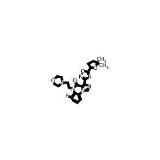 CC1(C)CCC(c2nc(-c3ncn4c3c(=O)n(CCN3CCOCC3)c3c(F)cccc34)no2)O1